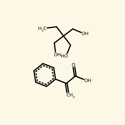 C=C(C(=O)O)c1ccccc1.CCC(CO)(CO)CO